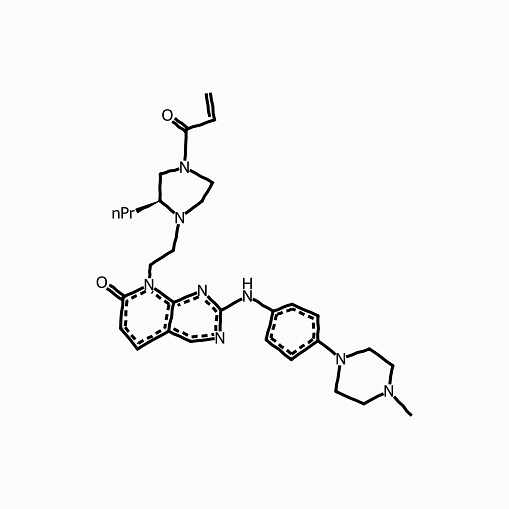 C=CC(=O)N1CCN(CCn2c(=O)ccc3cnc(Nc4ccc(N5CCN(C)CC5)cc4)nc32)[C@@H](CCC)C1